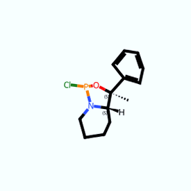 C[C@@]1(c2ccccc2)OP(Cl)N2CCCC[C@H]21